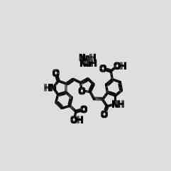 O=C1Nc2ccc(C(=O)O)cc2/C1=C\c1ccc(/C=C2/C(=O)Nc3ccc(C(=O)O)cc32)o1.[NaH].[NaH]